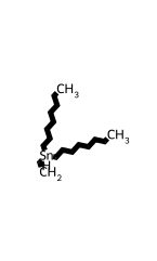 C=[CH][SnH]([CH2]CCCCCCC)[CH2]CCCCCCC